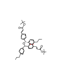 CCCc1ccc(C(OC(c2ccc(C=CC(=O)OC(C)(C)C)cc2)c2ccc(CCC)cc2)c2ccc(C=CC(=O)OC(C)(C)C)cc2)cc1